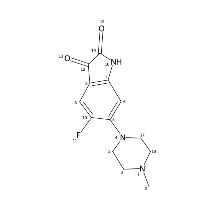 CN1CCN(c2cc3c(cc2F)C(=O)C(=O)N3)CC1